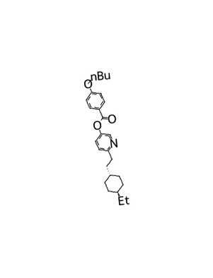 CCCCOc1ccc(C(=O)Oc2ccc(CC[C@H]3CC[C@H](CC)CC3)nc2)cc1